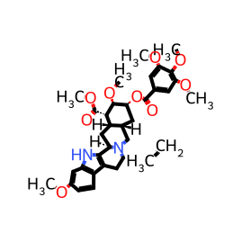 C=CC.COC(=O)[C@H]1[C@H]2C[C@@H]3c4[nH]c5cc(OC)ccc5c4CCN3C[C@H]2C[C@@H](OC(=O)c2cc(OC)c(OC)c(OC)c2)[C@@H]1OC